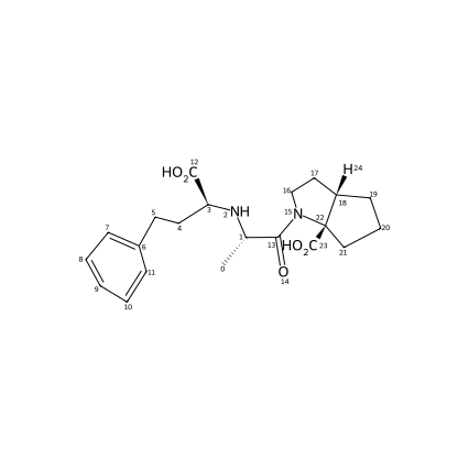 C[C@H](N[C@@H](CCc1ccccc1)C(=O)O)C(=O)N1CC[C@@H]2CCC[C@@]21C(=O)O